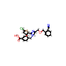 N#Cc1ccccc1COCc1cn(Cc2ccc(C(=O)O)cc2)c(-c2ccc(Cl)s2)n1